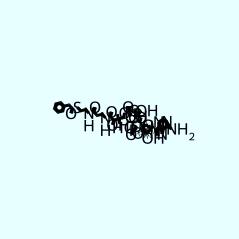 CC(C)(COP(=O)(O)OP(=O)(O)OC[C@H]1O[C@@H](n2cnc3c(N)ncnc32)[C@H](O)[C@@H]1OP(=O)(O)O)C(O)C(=O)NCCC(=O)NCCSC(=O)Cc1ccccc1